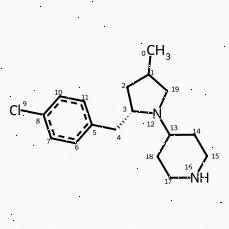 CC1C[C@@H](Cc2ccc(Cl)cc2)N(C2CCNCC2)C1